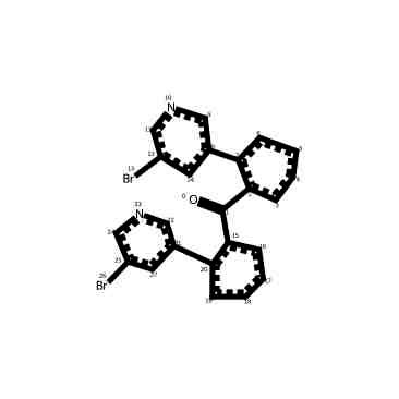 O=C(c1ccccc1-c1cncc(Br)c1)c1ccccc1-c1cncc(Br)c1